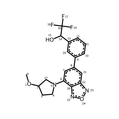 COC1CCN(c2cc(-c3cccc(C(O)C(F)(F)F)c3)cc3nonc23)C1